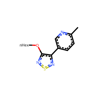 CCCCCCOc1nsnc1-c1ccc(C)nc1